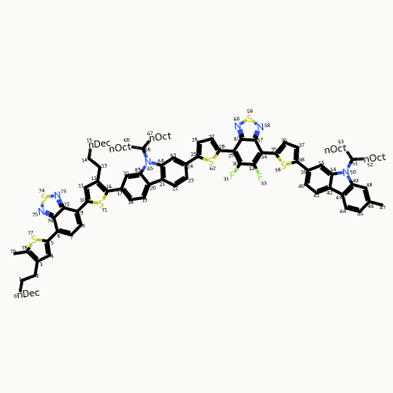 CCCCCCCCCCCCc1cc(-c2ccc(-c3cc(CCCCCCCCCCCC)c(-c4ccc5c6ccc(-c7ccc(-c8c(F)c(F)c(-c9ccc(-c%10ccc%11c%12ccc(C)cc%12n(C(CCCCCCCC)CCCCCCCC)c%11c%10)s9)c9nsnc89)s7)cc6n(C(CCCCCCCC)CCCCCCCC)c5c4)s3)c3nsnc23)sc1C